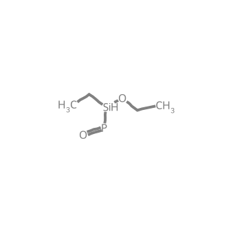 CCO[SiH](CC)P=O